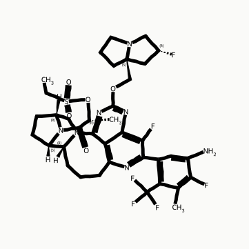 CCS(=O)(=O)O[C@H](C)C(=O)N1[C@@H]2CC[C@H]1[C@H]1CCCc3nc(-c4cc(N)c(F)c(C)c4C(F)(F)F)c(F)c4nc(OC[C@@]56CCCN5C[C@H](F)C6)nc(c34)N1C2